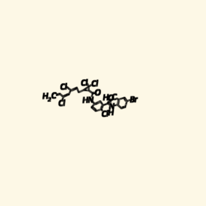 C=C/C(Cl)=C\C(Cl)=C/CC1C(C(=O)Nc2ccc(Cl)c(C(=O)Nc3ccc(Br)cc3C)c2)C1(Cl)Cl